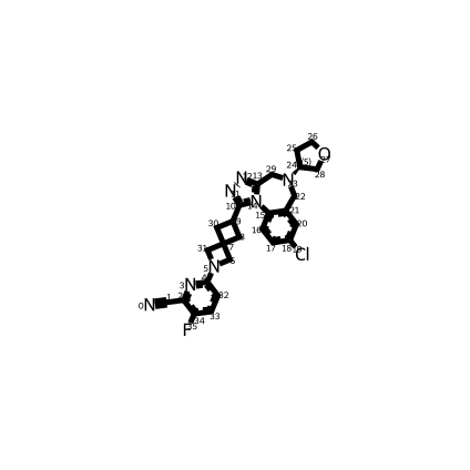 N#Cc1nc(N2CC3(CC(c4nnc5n4-c4ccc(Cl)cc4CN([C@H]4CCOC4)C5)C3)C2)ccc1F